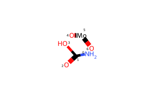 NC(=O)O.[O]=[Mo]=[O]